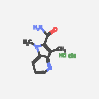 Cc1c(C(N)=O)n(C)c2cccnc12.Cl.Cl